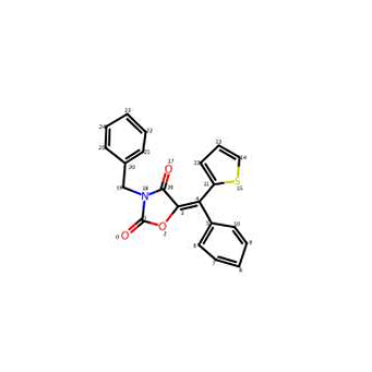 O=C1O/C(=C(\c2ccccc2)c2cccs2)C(=O)N1Cc1ccccc1